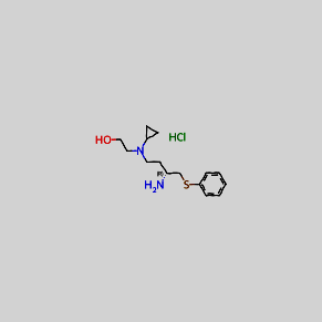 Cl.N[C@H](CCN(CCO)C1CC1)CSc1ccccc1